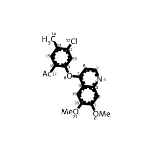 COc1cc2nccc(Oc3cc(Cl)c(C)cc3C(C)=O)c2cc1OC